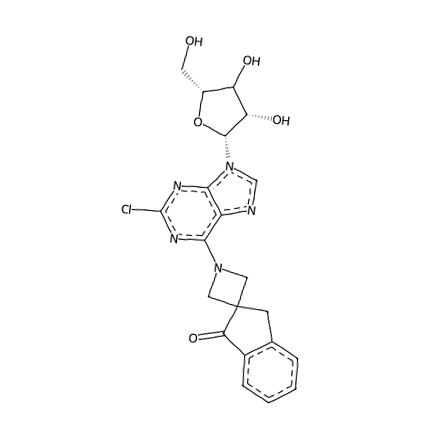 O=C1c2ccccc2CC12CN(c1nc(Cl)nc3c1ncn3[C@@H]1O[C@H](CO)C(O)[C@@H]1O)C2